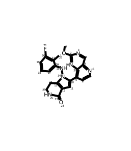 COc1ncc2nccc(-c3cc4c(n3Nc3cccc(F)c3C)CCNC4=O)c2n1